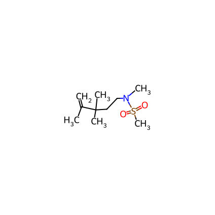 C=C(C)C(C)(C)CCN(C)S(C)(=O)=O